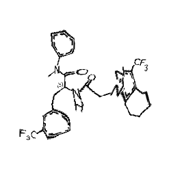 CN(C(=O)[C@H](Cc1cccc(C(F)(F)F)c1)NC(=O)Cn1nc(C(F)(F)F)c2c1CCCC2)c1ccccc1